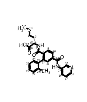 CSCC[C@H](NC(=O)c1ccc(C(=O)Nc2cccnc2)cc1-c1ccccc1C)C(=O)O